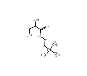 CC(C)CC(C(=O)OCC[N+](C)(C)C)C(C)C